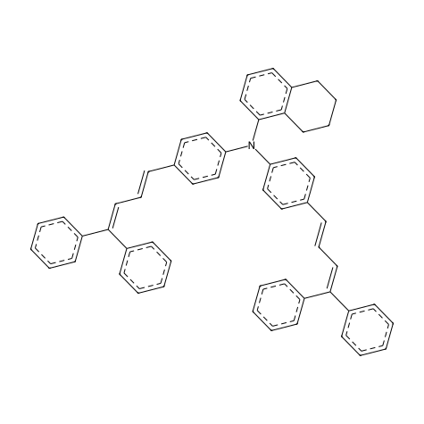 C(/C=C/c1ccc(N(c2ccc(/C=C/C=C(c3ccccc3)c3ccccc3)cc2)c2cccc3c2CCCC3)cc1)=C(c1ccccc1)c1ccccc1